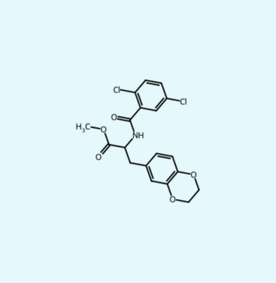 COC(=O)C(Cc1ccc2c(c1)OCCO2)NC(=O)c1cc(Cl)ccc1Cl